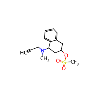 C#CCN(C)C1CC(OS(=O)(=O)C(F)(F)F)Cc2ccccc21